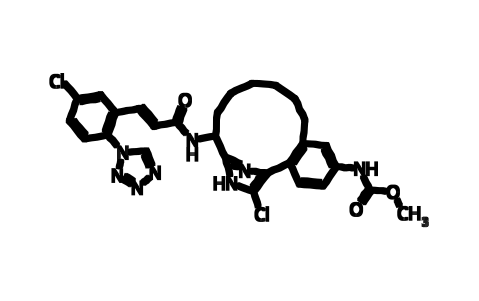 COC(=O)Nc1ccc2c(c1)CCCCCCC(NC(=O)C=Cc1cc(Cl)ccc1-n1cnnn1)c1nc-2c(Cl)[nH]1